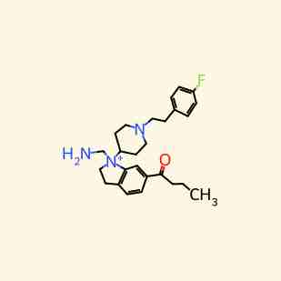 CCCC(=O)c1ccc2c(c1)[N+](CN)(C1CCN(CCc3ccc(F)cc3)CC1)CC2